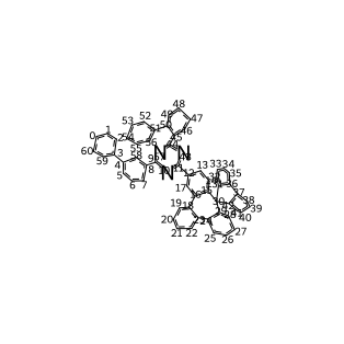 c1ccc(-c2cccc(-c3nc(-c4ccc5c(c4)-c4ccccc4-c4ccccc4C54c5ccccc5-c5ccccc54)nc(-c4ccccc4-c4ccccc4)n3)c2)cc1